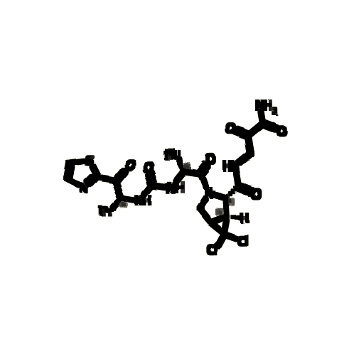 CC(C)[C@H](NC(=O)N[C@H](C(=O)N1CC2[C@@H]([C@H]1C(=O)NCC(=O)C(N)=O)C2(Cl)Cl)C(C)(C)C)C(=O)c1nccs1